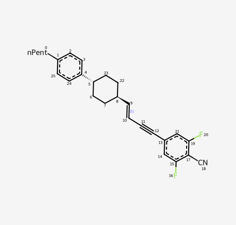 CCCCCc1ccc([C@H]2CC[C@H](/C=C/C#Cc3cc(F)c(C#N)c(F)c3)CC2)cc1